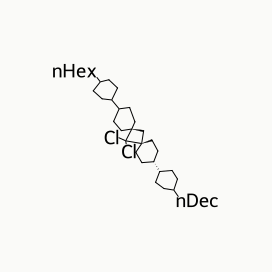 CCCCCCCCCCC1CCC([C@H]2CC[C@]3(CC2)C[C@@]2(CCC(C4CCC(CCCCCC)CC4)CC2)C3(Cl)Cl)CC1